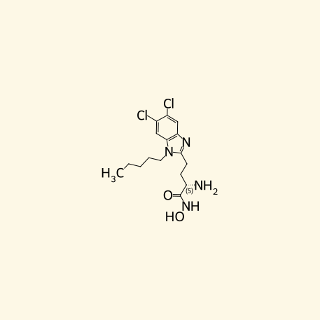 CCCCCn1c(CC[C@H](N)C(=O)NO)nc2cc(Cl)c(Cl)cc21